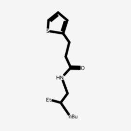 CCCCC(CC)CNC(=O)CCc1cccs1